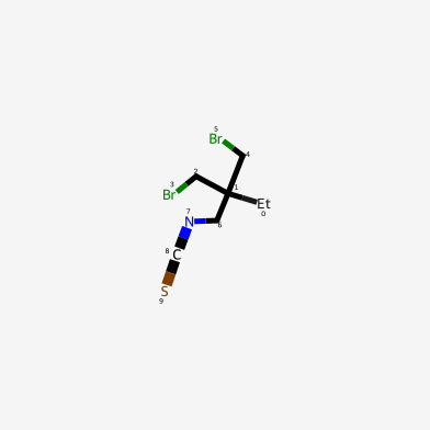 CCC(CBr)(CBr)CN=C=S